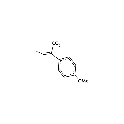 COc1ccc(C(=CF)C(=O)O)cc1